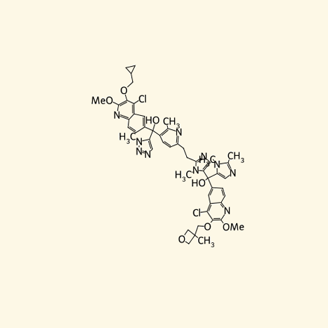 COc1nc2ccc(C(O)(c3ccc(CCc4ncc(C(O)(c5ccc6nc(OC)c(OCC7(C)COC7)c(Cl)c6c5)c5cnc(C)n5C)n4C)nc3C)c3cnnn3C)cc2c(Cl)c1OCC1CC1